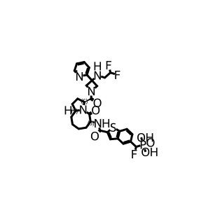 O=C(N[C@H]1CCCC[C@H]2CC[C@@H](C(=O)N3CC(NCC(F)F)(c4ccccn4)C3)N2C1=O)c1cc2cc(C(F)P(=O)(O)O)ccc2s1